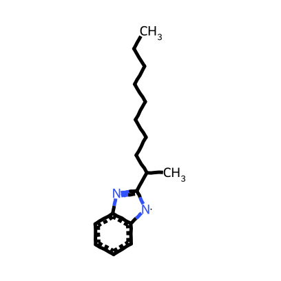 CCCCCCCCC(C)C1=Nc2ccccc2[N]1